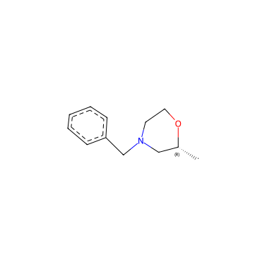 [CH2][C@@H]1CN(Cc2ccccc2)CCO1